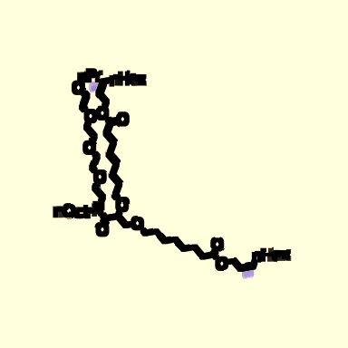 CCCCCC/C=C\COC(=O)CCCCCCCOCC(OCCCCCCCC(=O)OC/C=C\CCCCCC)C(=O)N(CCCCCCCC)CCOCCOCCOCCOCCC